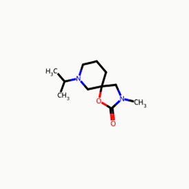 CC(C)N1CCCC2(CN(C)C(=O)O2)C1